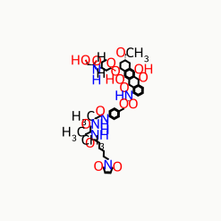 CC(=O)[C@@H]1Cc2c(O)c3c(c(O)c2[C@@H](O[C@H]2C[C@@H]4N[C@@H](CO)O[C@@H]4CO2)C1)C(=O)c1c(NC(=O)OCc2ccc(NC(=O)[C@H](C)NC(=O)[C@@H](NC(=O)CCCCCN4C(=O)C=CC4=O)C(C)C)cc2)cccc1C3=O